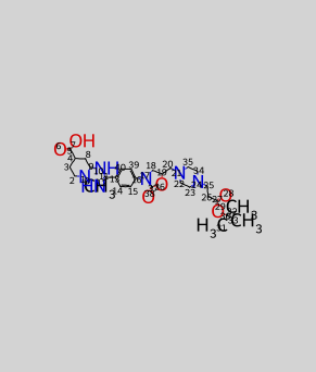 CN1CCC(C(=O)O)CC1NC(=N)c1ccc(N2CC(CN3CCN(CCC(=O)OC(C)(C)C)CC3)OC2=O)cc1